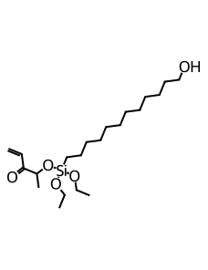 C=CC(=O)C(C)O[Si](CCCCCCCCCCCCO)(OCC)OCC